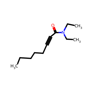 CCCCCC#CC(=O)N(CC)CC